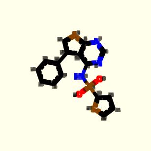 O=S(=O)(Nc1ncnc2scc(-c3ccccc3)c12)c1cccs1